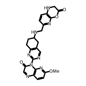 COc1ccc2ncc(=O)n(-c3ncc4c(n3)CCC(NCc3ccc5c(n3)OC(=O)CN5)C4)c2n1